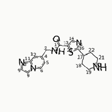 O=C(NCc1ccn2ccnc2c1)c1cnc(C2CCNCC2)s1